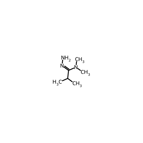 CC(C)/C(=N/N)N(C)C